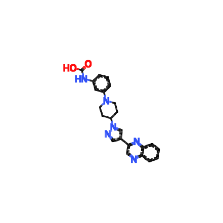 O=C(O)Nc1cccc(N2CCC(n3cc(-c4cnc5ccccc5n4)cn3)CC2)c1